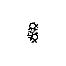 CO[Si](OC)(C1(C)CCCC(C)(C)C1(C)C)C1(C)CCCC(C)(C)C1(C)C